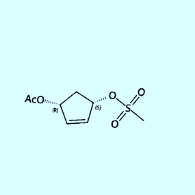 CC(=O)O[C@H]1C=C[C@@H](OS(C)(=O)=O)C1